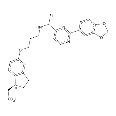 CCC(NCCCOc1ccc2c(c1)CC[C@H]2CC(=O)O)c1ccnc(-c2ccc3c(c2)OCO3)n1